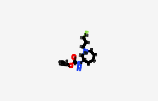 CC(C)(C)OC(=O)N[C@H]1CCCCN(CCCF)C1